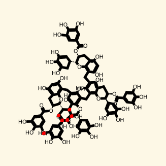 O=C(O[C@@H]1Cc2c(O)c(Cc3c(O)cc(O)c4c3O[C@H](C3C=C(O)C(O)=C(O)C3)[C@H](OC(=O)c3cc(O)c(O)c(O)c3)C4)c(O)c(Cc3c(O)c(Cc4c(O)cc(O)c5c4O[C@H](C4C=C(O)C(O)=C(O)C4)[C@H](OC(=O)c4cc(O)c(O)c(O)c4)C5)c(O)c4c3O[C@H](c3cc(O)c(O)c(O)c3)[C@H](OC(=O)c3cc(O)c(O)c(O)c3)C4)c2O[C@@H]1c1cc(O)c(O)c(O)c1)c1cc(O)c(O)c(O)c1